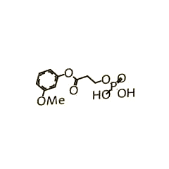 COc1cccc(OC(=O)CCOP(=O)(O)O)c1